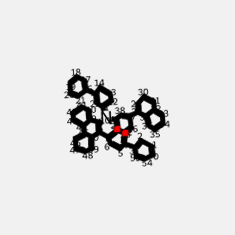 c1ccc(-c2ccc(-c3c(N(c4cccc(-c5ccccc5)c4)c4cccc(-c5cccc6ccccc56)c4)c4ccccc4c4ccccc34)cc2)cc1